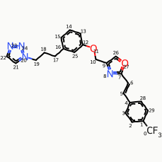 FC(F)(F)c1ccc(C=Cc2nc(COc3cccc(CCCn4ccnn4)c3)co2)cc1